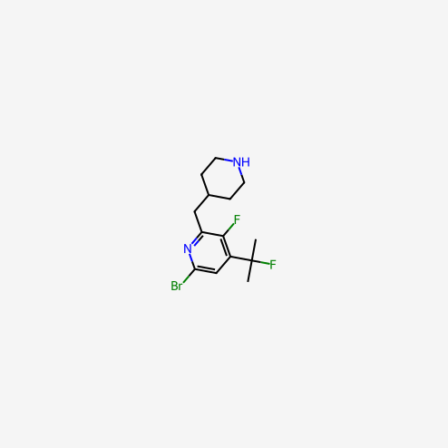 CC(C)(F)c1cc(Br)nc(CC2CCNCC2)c1F